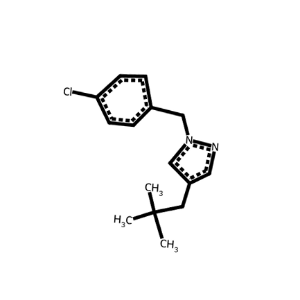 CC(C)(C)Cc1cnn(Cc2ccc(Cl)cc2)c1